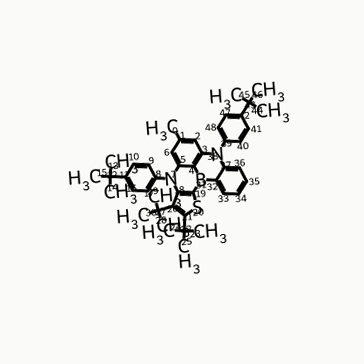 Cc1cc2c3c(c1)N(c1ccc(C(C)(C)C)cc1)c1c(sc(C(C)(C)C)c1C(C)(C)C)B3c1ccccc1N2c1ccc(C(C)(C)C)cc1